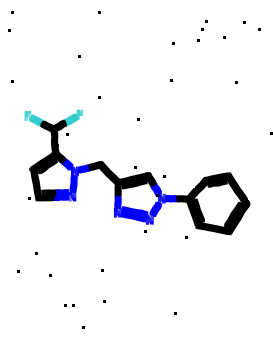 FC(F)c1[c]cnn1Cc1cn(-c2ccccc2)nn1